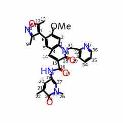 COc1cc2c(cc1-c1c(C)noc1C)cc(C(=O)Nc1cc(C)c(=O)n(C)c1)c(=O)n2Cc1ccccn1